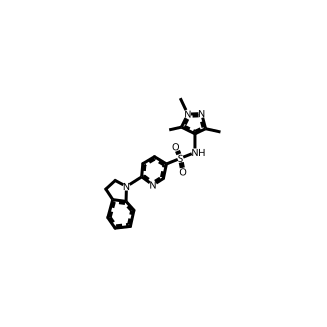 Cc1nn(C)c(C)c1NS(=O)(=O)c1ccc(N2CCc3ccccc32)nc1